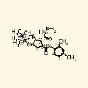 Cc1ccc(NC(=O)[C@H]2C[C@@H](O[Si](C)(C)C(C)(C)C)C[C@@H]2C(=O)NN)c(C)c1